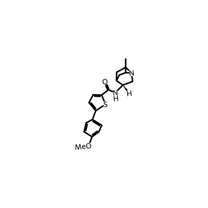 COc1ccc(-c2ccc(C(=O)N[C@H]3CN4CCC3CC4C)s2)cc1